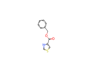 O=C(OCc1ccccc1)c1cscn1